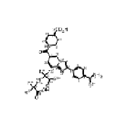 N=C(N)c1ccc(-c2cn3cc(C(=O)N4CCC(C(=O)O)CC4)ccc3n2)cc1.O=C(O)C(F)(F)F.O=C(O)C(F)(F)F